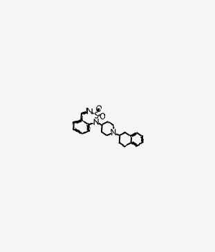 O=S1(=O)N=Cc2ccccc2N1C1CCN(C2CCc3ccccc3C2)CC1